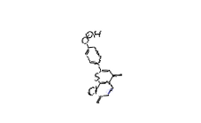 C=C/C=C\C1=C(Cl)SC(c2ccc(OO)cc2)=CC1=C